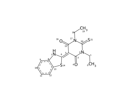 CCN1C(=O)C(=C2Nc3ccccc3S2)C(=O)N(CC)C1=S